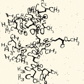 CCOC(=O)CCSP(=O)(OC(C)COP(=O)(OC(C)CSP(=O)(OC(C)CC(C)C)OC(C)CC(C)C)OC(C)CSP(=O)(OC(C)CC(C)C)OC(C)CC(C)C)OC(C)CSP(=O)(OC(C)CSP(=O)(OC(C)CC(C)C)OC(C)CC(C)C)OC(C)CSP(=O)(OC(C)CC(C)C)OC(C)CC(C)C